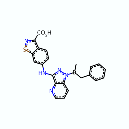 CB(Cc1ccccc1)n1nc(Nc2ccc3c(C(=O)O)nsc3c2)c2ncccc21